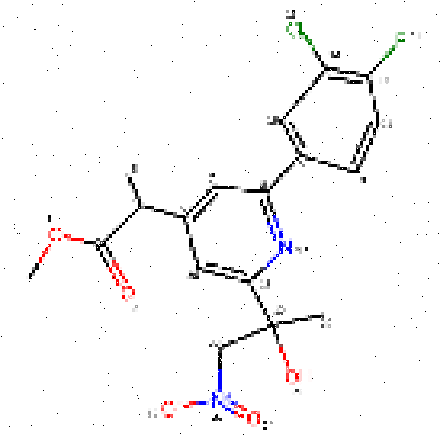 COC(=O)C(C)c1cc(-c2ccc(F)c(Cl)c2)nc(C(C)(O)C[N+](=O)[O-])c1